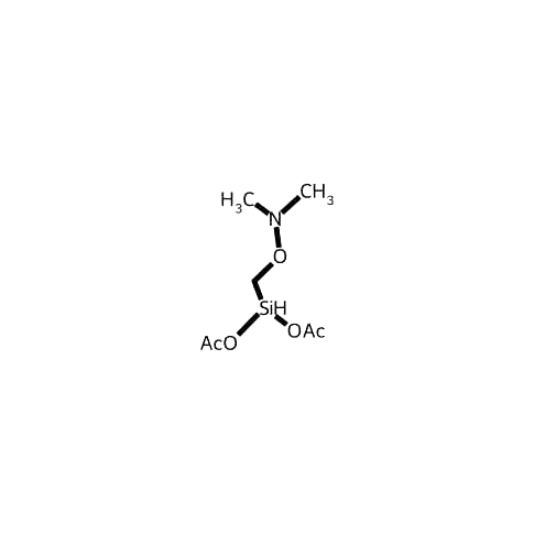 CC(=O)O[SiH](CON(C)C)OC(C)=O